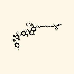 COc1cc2c(Oc3ccc(NC(=O)C4(C(=O)Nc5ccc(F)cc5)CC4)cc3F)ccnc2cc1OCCCCCCCSC(=O)C(C)C